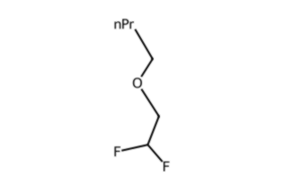 CCCCOCC(F)F